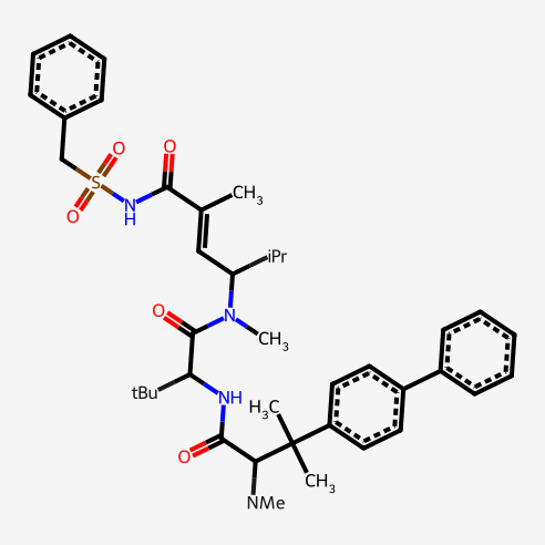 CNC(C(=O)NC(C(=O)N(C)C(C=C(C)C(=O)NS(=O)(=O)Cc1ccccc1)C(C)C)C(C)(C)C)C(C)(C)c1ccc(-c2ccccc2)cc1